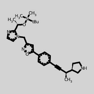 C[C@H](O[Si](C)(C)C(C)(C)C)c1nccn1Cc1cc(-c2ccc(C#C[C@H](C)[C@H]3CCNC3)cc2)on1